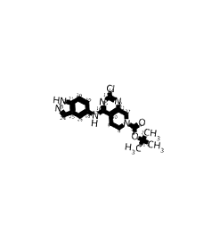 CC(C)(C)OC(=O)N1CCc2c(nc(Cl)nc2Nc2ccc3[nH]ncc3c2)C1